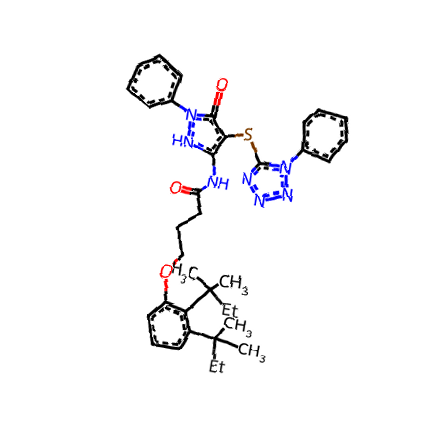 CCC(C)(C)c1cccc(OCCCC(=O)Nc2[nH]n(-c3ccccc3)c(=O)c2Sc2nnnn2-c2ccccc2)c1C(C)(C)CC